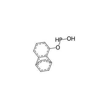 OPOc1cccc2c3ccc(cc3)c12